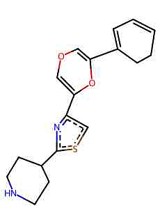 C1=CCCC(C2=COC=C(c3csc(C4CCNCC4)n3)O2)=C1